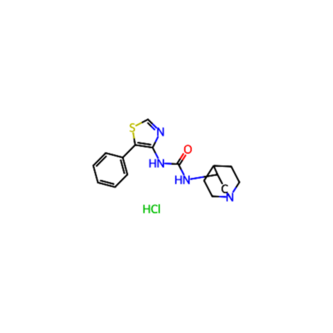 Cl.O=C(Nc1ncsc1-c1ccccc1)NC1CN2CCC1CC2